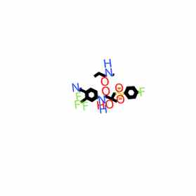 CC(O)(CS(=O)(=O)c1ccc(F)cc1)C(=O)Nc1ccc(C#N)c(C(F)(F)F)c1.CCC(=O)NC